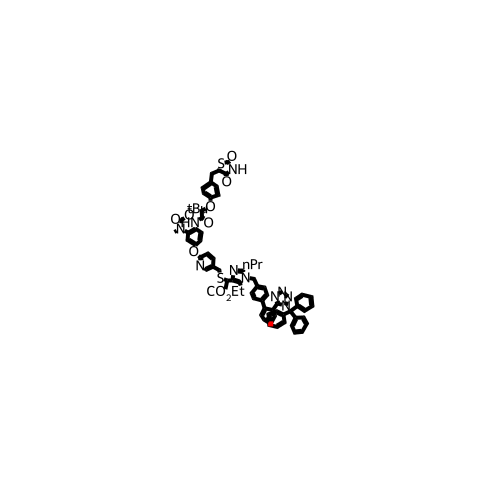 CCCc1nc(C(C)SCc2ccc(Oc3ccc(NC(=O)COc4ccc(CC5SC(=O)NC5=O)cc4)c(N(C)C(=O)OC(C)(C)C)c3)nc2)c(C(=O)OCC)n1Cc1ccc(-c2ccccc2-c2nnnn2C(c2ccccc2)(c2ccccc2)c2ccccc2)cc1